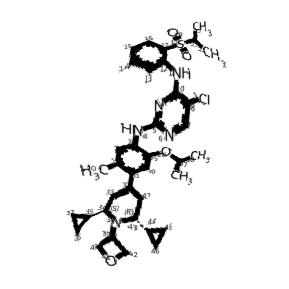 Cc1cc(Nc2ncc(Cl)c(Nc3ccccc3S(=O)(=O)C(C)C)n2)c(OC(C)C)cc1C1=C[C@H](C2CC2)N(C2COC2)[C@@H](C2CC2)C1